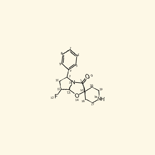 O=C1N2C(c3ccccc3)CC(F)C2OC12CCNCC2